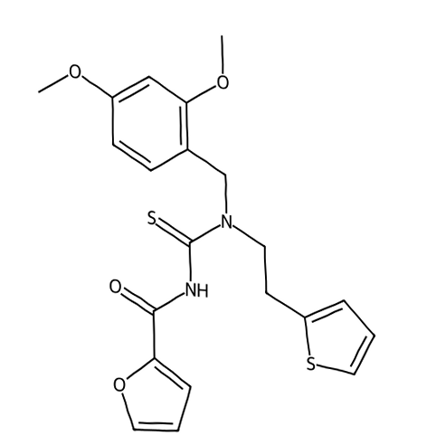 COc1ccc(CN(CCc2cccs2)C(=S)NC(=O)c2ccco2)c(OC)c1